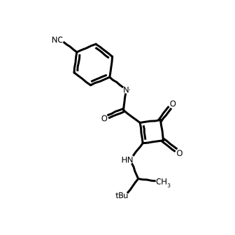 CC(Nc1c(C(=O)[N]c2ccc(C#N)cc2)c(=O)c1=O)C(C)(C)C